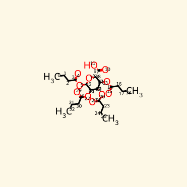 CCCC(=O)OC1O[C@H](C(=O)O)[C@@H](OC(=O)CCC)[C@H](OC(=O)CCC)[C@H]1OC(=O)CCC